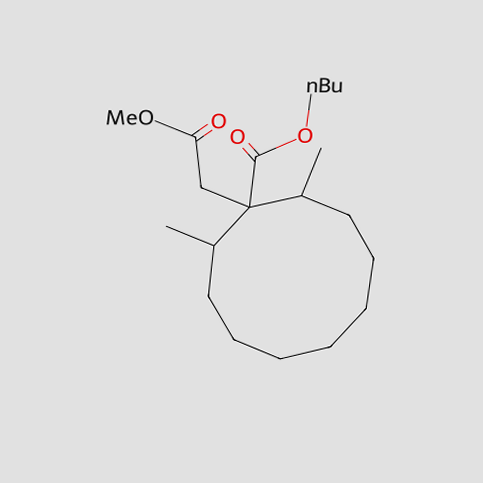 CCCCOC(=O)C1(CC(=O)OC)C(C)CCCCCCCC1C